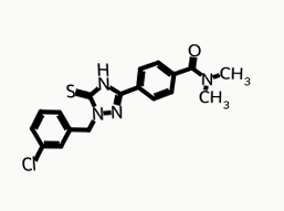 CN(C)C(=O)c1ccc(-c2nn(Cc3cccc(Cl)c3)c(=S)[nH]2)cc1